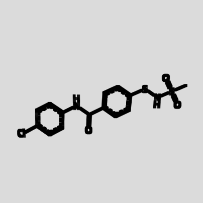 CS(=O)(=O)NSc1ccc(C(=O)Nc2ccc(Cl)cc2)cc1